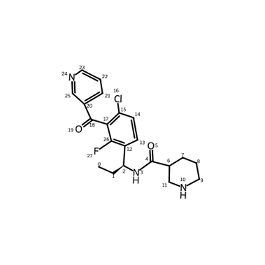 CC[C@H](NC(=O)C1CCCNC1)c1ccc(Cl)c(C(=O)c2cccnc2)c1F